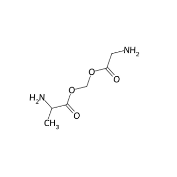 CC(N)C(=O)OCOC(=O)CN